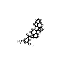 C[C@@H]1CN(C(=O)C2Cc3cccc4c3N2C=CN=C4C2=C(c3cnn4ccccc34)C(=O)NC2=O)C[C@H](C)O1